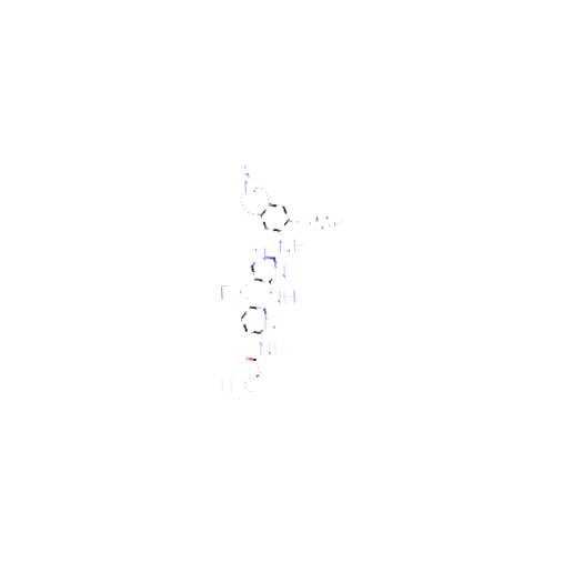 C=CC(=O)Nc1cccc(Nc2nc(Nc3cc4c(cc3OC)CN(C(C)=O)CC4)ncc2C(F)(F)F)n1